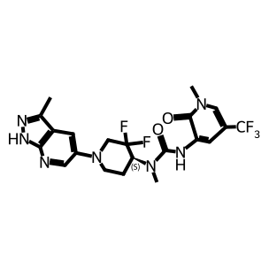 Cc1n[nH]c2ncc(N3CC[C@H](N(C)C(=O)Nc4cc(C(F)(F)F)cn(C)c4=O)C(F)(F)C3)cc12